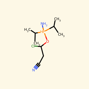 CC(C)[PH](N)(OC(Cl)CC#N)C(C)C